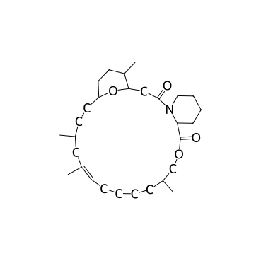 CC1=CCCCCC(C)COC(=O)C2CCCCN2C(=O)CC2OC(CCC(C)C1)CCC2C